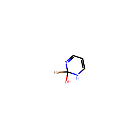 OC1(S)N=CC=CN1